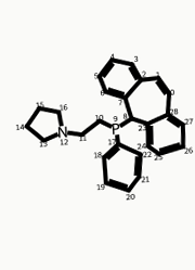 C1=Cc2ccccc2C(P(CCN2CCCC2)c2ccccc2)c2ccccc21